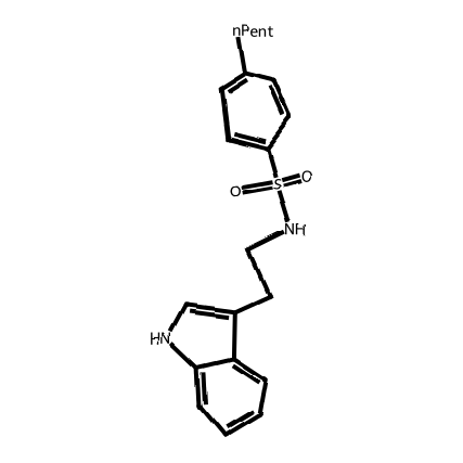 CCCCCc1ccc(S(=O)(=O)NCCc2c[nH]c3ccccc23)cc1